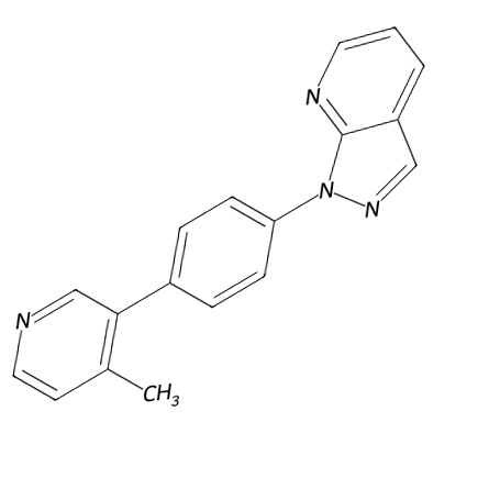 Cc1ccncc1-c1ccc(-n2ncc3cccnc32)cc1